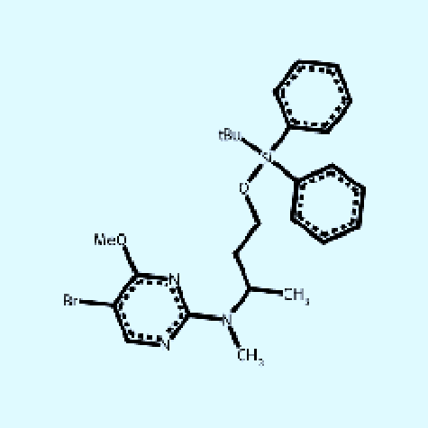 COc1nc(N(C)C(C)CCO[Si](c2ccccc2)(c2ccccc2)C(C)(C)C)ncc1Br